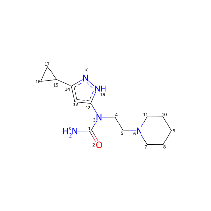 NC(=O)N(CCN1CCCCC1)c1cc(C2CC2)n[nH]1